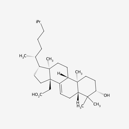 CC(C)CCC[C@@H](C)[C@H]1CC[C@@]2(CC(=O)O)C3=CC[C@H]4C(C)(C)[C@@H](O)CC[C@]4(C)[C@H]3CC[C@]12C